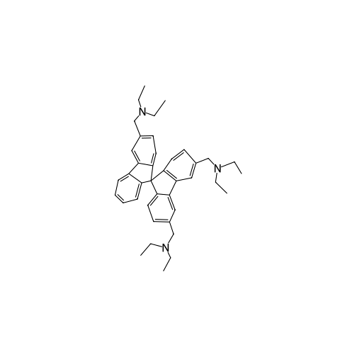 CCN(CC)Cc1ccc2c(c1)-c1ccccc1C21c2ccc(CN(CC)CC)cc2-c2cc(CN(CC)CC)ccc21